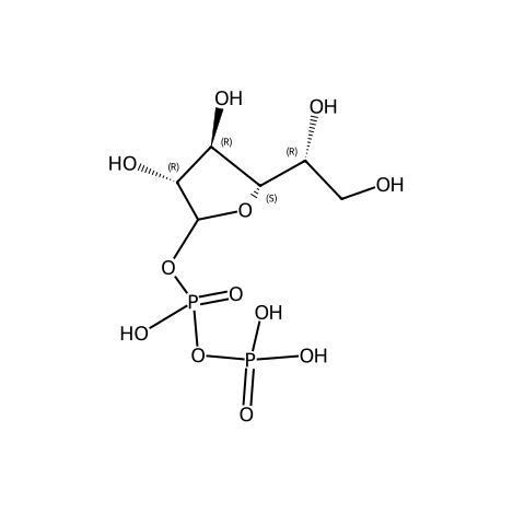 O=P(O)(O)OP(=O)(O)OC1O[C@@H]([C@H](O)CO)[C@H](O)[C@H]1O